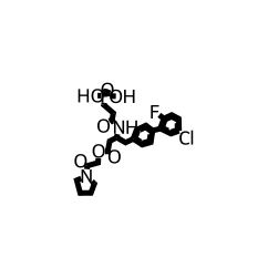 O=C(CCP(=O)(O)O)NC(CC(=O)OCC(=O)N1CCCC1)Cc1ccc(-c2cc(Cl)ccc2F)cc1